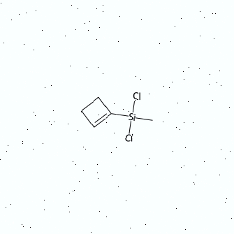 C[Si](Cl)(Cl)C1=CCC1